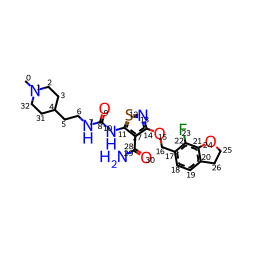 CN1CCC(CCNC(=O)Nc2snc(OCc3ccc4c(c3F)OCC4)c2C(N)=O)CC1